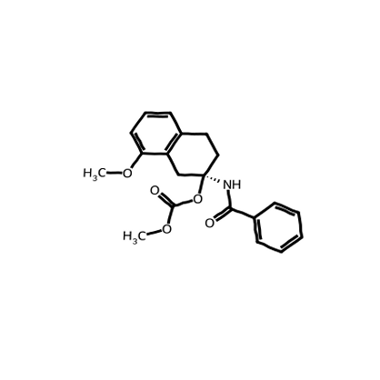 COC(=O)O[C@]1(NC(=O)c2ccccc2)CCc2cccc(OC)c2C1